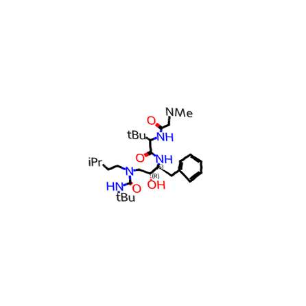 CNCC(=O)NC(C(=O)N[C@@H](Cc1ccccc1)[C@H](O)CN(CCC(C)C)C(=O)NC(C)(C)C)C(C)(C)C